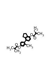 C=C(C)C(=O)Oc1ccc(-c2ccc(OC(=O)C(=C)C)c3c2CCC3)c(C)c1